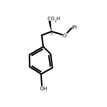 CC(C)O[C@@H](Cc1ccc(O)cc1)C(=O)O